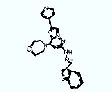 C(=N\Nc1cc(N2CCOCC2)c2nc(-c3ccncc3)cn2n1)/c1csc2ccccc12